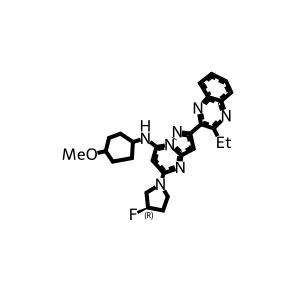 CCc1nc2ccccc2nc1-c1cc2nc(N3CC[C@@H](F)C3)cc(NC3CCC(OC)CC3)n2n1